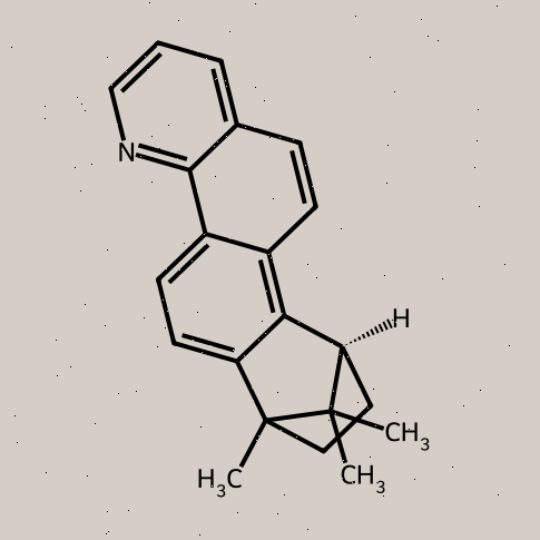 CC12CC[C@H](c3c1ccc1c3ccc3cccnc31)C2(C)C